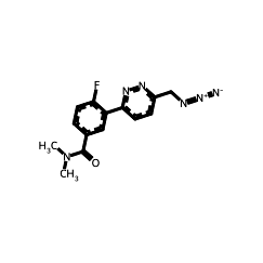 CN(C)C(=O)c1ccc(F)c(-c2ccc(CN=[N+]=[N-])nn2)c1